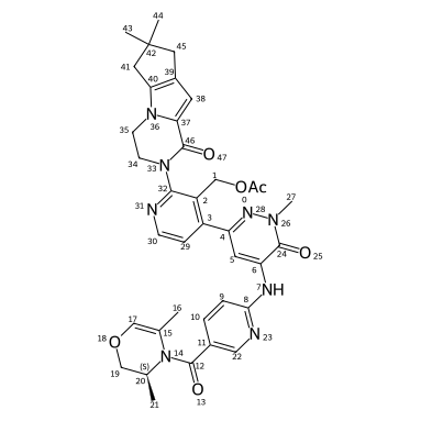 CC(=O)OCc1c(-c2cc(Nc3ccc(C(=O)N4C(C)=COC[C@@H]4C)cn3)c(=O)n(C)n2)ccnc1N1CCn2c(cc3c2CC(C)(C)C3)C1=O